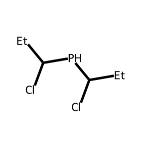 CCC(Cl)PC(Cl)CC